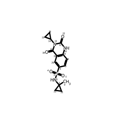 CC1(NS(=O)(=O)c2ccc3[nH]c(=O)n(C4CC4)c(=O)c3c2)CC1